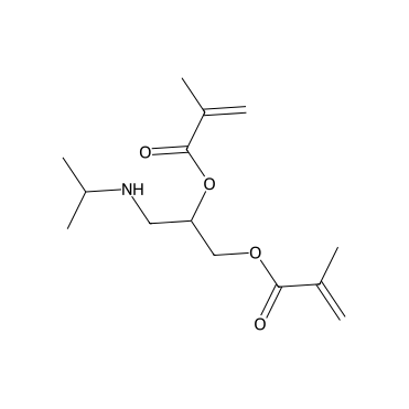 C=C(C)C(=O)OCC(CNC(C)C)OC(=O)C(=C)C